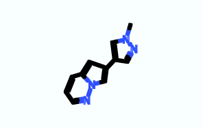 Cn1cc(-c2cc3cccnn3c2)cn1